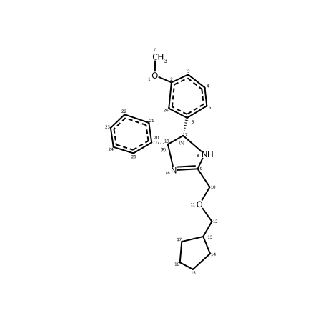 COc1cccc([C@@H]2NC(COCC3CCCC3)=N[C@@H]2c2ccccc2)c1